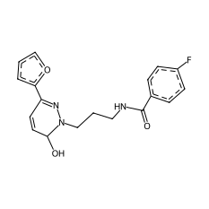 O=C(NCCCN1N=C(c2ccco2)C=CC1O)c1ccc(F)cc1